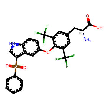 N[C@H](Cc1cc(C(F)(F)F)c(Oc2ccc3[nH]cc(S(=O)(=O)c4ccccc4)c3c2)c(C(F)(F)F)c1)C(=O)O